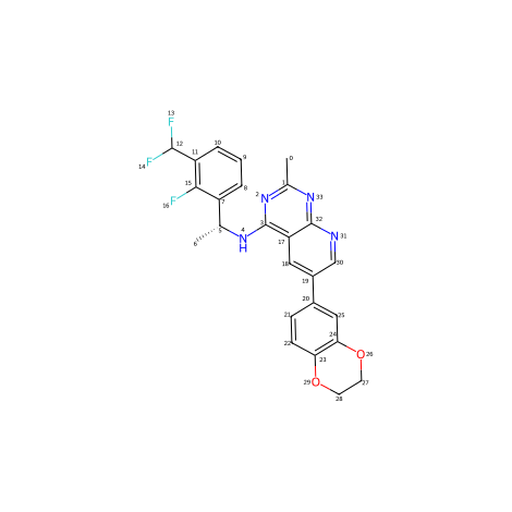 Cc1nc(N[C@H](C)c2cccc(C(F)F)c2F)c2cc(-c3ccc4c(c3)OCCO4)cnc2n1